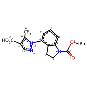 CC(C)(C)OC(=O)N1CCc2c1cccc2-n1ncc(C(=O)O)c1C(F)(F)F